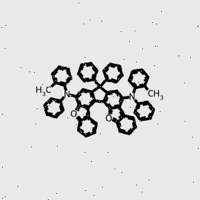 Cc1ccccc1N(c1ccccc1)c1cc2c(c3c1oc1ccccc13)-c1c(cc(N(c3ccccc3)c3ccccc3C)c3c1oc1ccccc13)C2(c1ccccc1)c1ccccc1